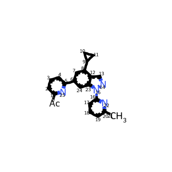 CC(=O)c1cccc(-c2cc(C3CC3)c3cnn(-c4cccc(C)n4)c3c2)n1